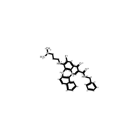 CN(C)CCCNc1c(F)cc2c(=O)c(C(=O)NCc3ccccc3)cn3c2c1Oc1ccc2ccccc2c1-3